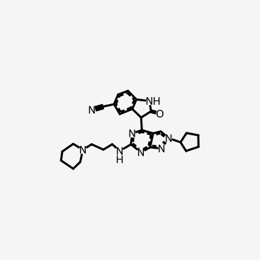 N#Cc1ccc2c(c1)C(c1nc(NCCCN3CCCCC3)nc3nn(C4CCCC4)cc13)C(=O)N2